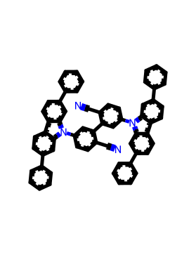 N#Cc1ccc(-n2c3cc(-c4ccccc4)ccc3c3ccc(-c4ccccc4)cc32)cc1-c1cc(-n2c3cc(-c4ccccc4)ccc3c3ccc(-c4ccccc4)cc32)ccc1C#N